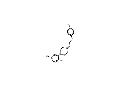 N#Cc1ccc(OCCN2CCN(c3cc(Cl)nnc3Cl)CC2)cc1